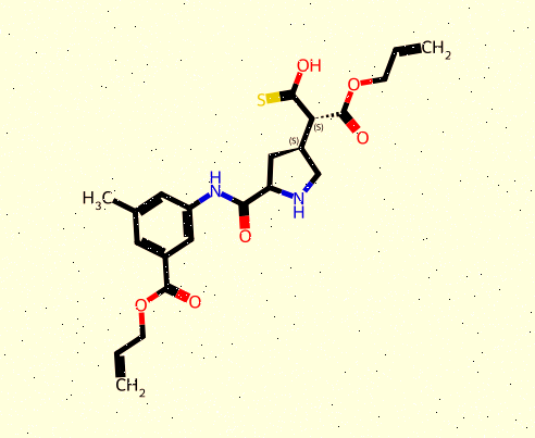 C=CCOC(=O)c1cc(C)cc(NC(=O)C2C[C@@H]([C@@H](C(=O)OCC=C)C(O)=S)CN2)c1